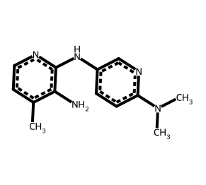 Cc1ccnc(Nc2ccc(N(C)C)nc2)c1N